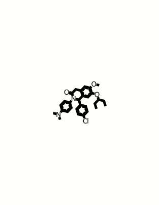 CCC(CC)Oc1cc2c(cc1OC)CC(=O)N(c1ccc(N(C)C)cc1)C2c1ccc(Cl)cc1